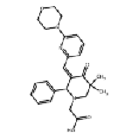 CC1(C)CN(CC(=O)O)C(c2ccccc2)C(=Cc2cccc(N3CCOCC3)n2)C1=O